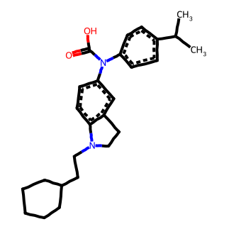 CC(C)c1ccc(N(C(=O)O)c2ccc3c(c2)CCN3CCC2CCCCC2)cc1